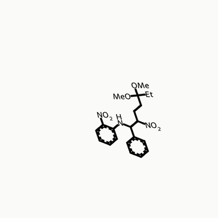 CCC(CCC(C(Nc1ccccc1[N+](=O)[O-])c1ccccc1)[N+](=O)[O-])(OC)OC